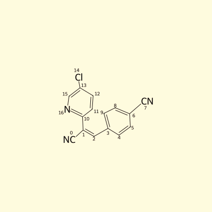 N#CC(=Cc1ccc(C#N)cc1)c1ccc(Cl)cn1